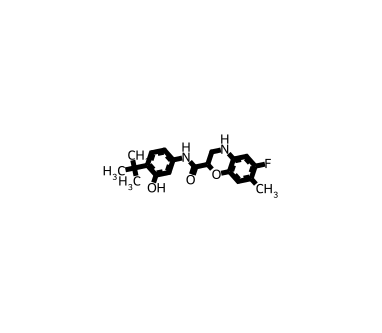 Cc1cc2c(cc1F)NCC(C(=O)Nc1ccc(C(C)(C)C)c(O)c1)O2